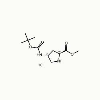 COC(=O)[C@@H]1C[C@@H](NC(=O)OC(C)(C)C)CN1.Cl